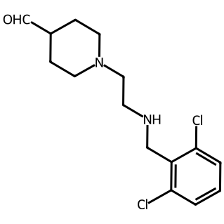 O=CC1CCN(CCNCc2c(Cl)cccc2Cl)CC1